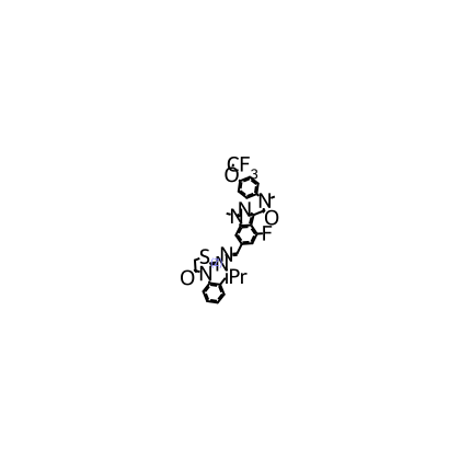 CC(C)c1ccccc1N1C(=O)CS/C1=N\N=Cc1cc(F)c2c(C(=O)N(C)c3ccc(OC(F)(F)F)cc3)nn(C)c2c1